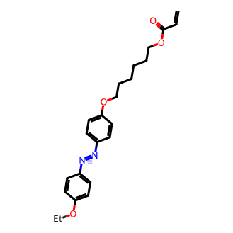 C=CC(=O)OCCCCCCOc1ccc(/N=N/c2ccc(OCC)cc2)cc1